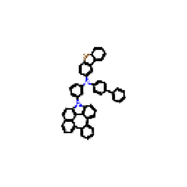 C1=CC2Sc3ccc(N(c4ccc(-c5ccccc5)cc4)c4cccc(-n5c6cccc7c6c6c8c(cccc8ccc65)-c5ccccc5-7)c4)cc3C2C=C1